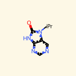 CC(C)n1c(=O)[nH]c2ncncc21